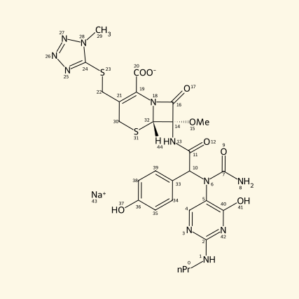 CCCNc1ncc(N(C(N)=O)C(C(=O)N[C@]2(OC)C(=O)N3C(C(=O)[O-])=C(CSc4nnnn4C)CS[C@H]32)c2ccc(O)cc2)c(O)n1.[Na+]